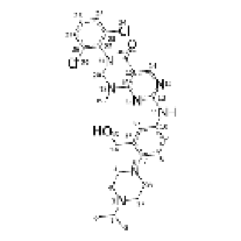 CC(C)N1CCN(c2ccc(Nc3ncc4c(n3)N(C)CN(c3c(Cl)cccc3Cl)C4=O)cc2CO)CC1